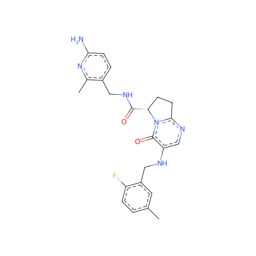 Cc1ccc(F)c(CNc2cnc3n(c2=O)[C@H](C(=O)NCc2ccc(N)nc2C)CC3)c1